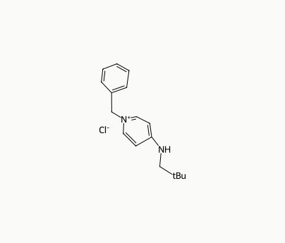 CC(C)(C)CNc1cc[n+](Cc2ccccc2)cc1.[Cl-]